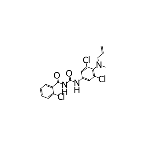 C=CCN(C)c1c(Cl)cc(NC(=O)NC(=O)c2ccccc2Cl)cc1Cl